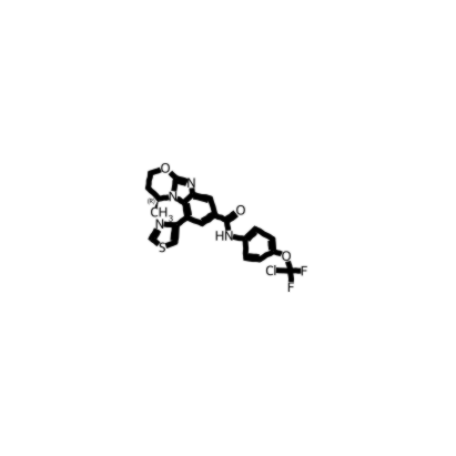 C[C@@H]1CCOc2nc3cc(C(=O)Nc4ccc(OC(F)(F)Cl)cc4)cc(-c4cscn4)c3n21